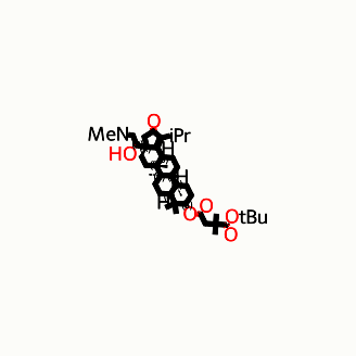 CNC[C@H](O)[C@@]12CC[C@]3(C)[C@H](CC[C@@H]4[C@@]5(C)CC[C@H](OC(=O)CC(C)(C)C(=O)OC(C)(C)C)C(C)(C)[C@@H]5CC[C@]43C)C1=C(C(C)C)C(=O)C2